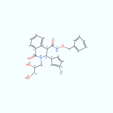 O=C(NOCc1ccccc1)C1c2ccccc2C(=O)N(CC(O)CO)C1C1C=CC(Cl)=C1